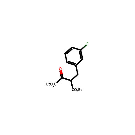 CCOC(=O)C(=O)C(Cc1cccc(F)c1)C(=O)OCC